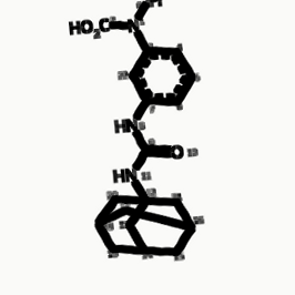 CC(C)N(C(=O)O)c1cccc(NC(=O)NC23CC4CC(CC(C4)C2)C3)c1